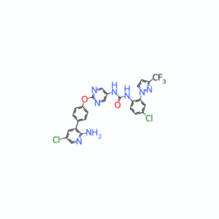 Nc1ncc(Cl)cc1-c1ccc(Oc2ncc(NC(=O)Nc3ccc(Cl)cc3-n3ccc(C(F)(F)F)n3)cn2)cc1